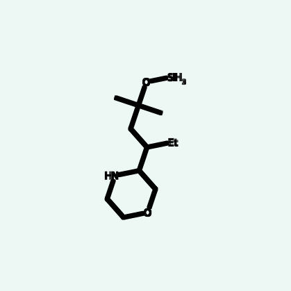 CCC(CC(C)(C)O[SiH3])C1COCCN1